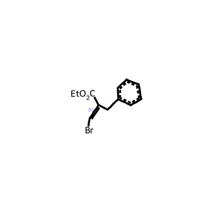 CCOC(=O)/C(=C/Br)Cc1ccccc1